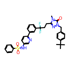 Cn1c(CCC(F)(F)c2cccc(-c3ccc(NS(=O)(=O)c4ccccc4)cn3)c2)nn(Cc2ccc(C(C)(C)C)cc2)c1=O